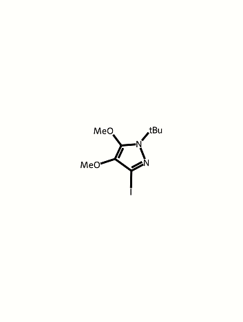 COc1c(I)nn(C(C)(C)C)c1OC